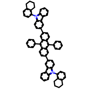 c1ccc(-c2c3ccc(-c4ccc5c(c4)c4ccccc4n5-c4cccc5c4CCCC5)cc3c(-c3ccccc3)c3ccc(-c4ccc5c(c4)c4ccccc4n5-c4cccc5c4CCCC5)cc23)cc1